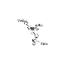 COCCCn1c([C@@H]2CCCN(C(=O)C[C@@H](Cc3ccc(-c4ccc(OC)nc4)cc3)NC(=O)OC(C)(C)C)C2)nc2ccccc21